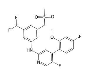 COc1cc(F)ccc1-c1cc(Nc2cc(CS(C)(=O)=O)cc(C(F)F)n2)ncc1F